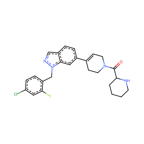 O=C(C1CCCCN1)N1CC=C(c2ccc3cnn(Cc4ccc(Cl)cc4F)c3c2)CC1